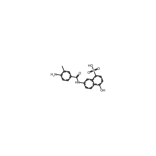 Cc1cc(C(=O)Nc2ccc3c(O)ccc(S(=O)(=O)O)c3c2)ccc1N